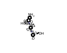 COc1ccc(/N=N/c2cc(OC)c(N/N=C3\C(=O)c4ccc(N)cc4C=C3S(=O)(=O)O)cc2OC)c(OCCO)c1